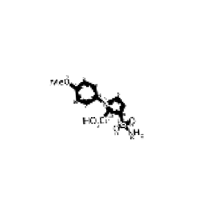 COc1ccc(-n2ccc(S(N)(=O)=O)c2C(=O)O)cc1